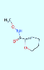 CONC(=O)C1=CCCCO1